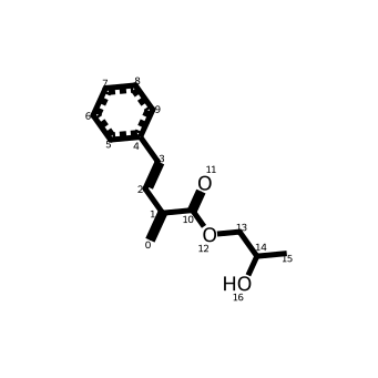 C=C(C=Cc1ccccc1)C(=O)OCC(C)O